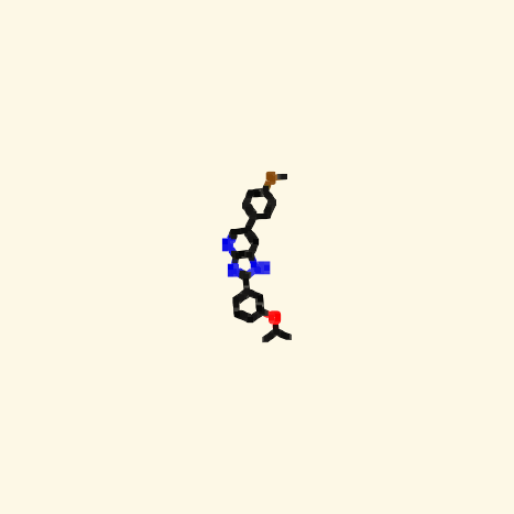 CSc1ccc(-c2cnc3nc(-c4cccc(OC(C)C)c4)[nH]c3c2)cc1